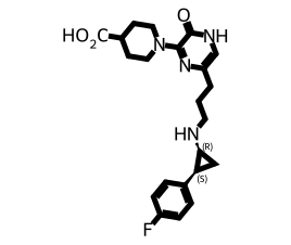 O=C(O)C1CCN(c2nc(CCCN[C@@H]3C[C@H]3c3ccc(F)cc3)c[nH]c2=O)CC1